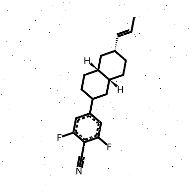 CC=C[C@@H]1CC[C@@H]2CC(c3cc(F)c(C#N)c(F)c3)CC[C@@H]2C1